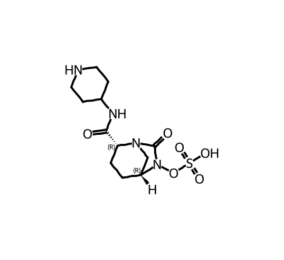 O=C(NC1CCNCC1)[C@H]1CC[C@@H]2CN1C(=O)N2OS(=O)(=O)O